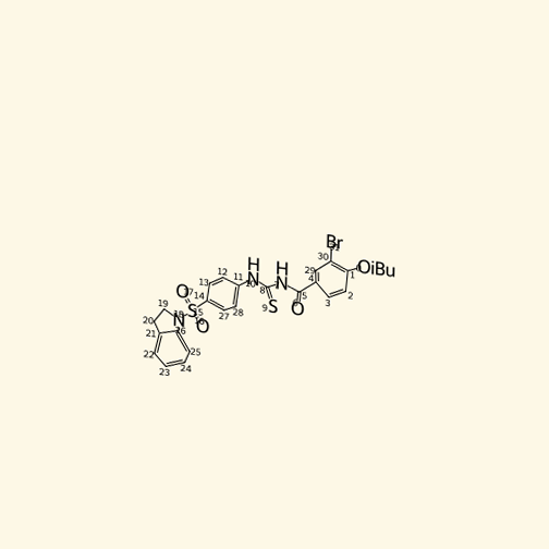 CC(C)COc1ccc(C(=O)NC(=S)Nc2ccc(S(=O)(=O)N3CCc4ccccc43)cc2)cc1Br